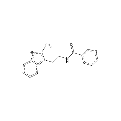 Cc1[nH]c2ccccc2c1CCNC(=O)c1cccnc1